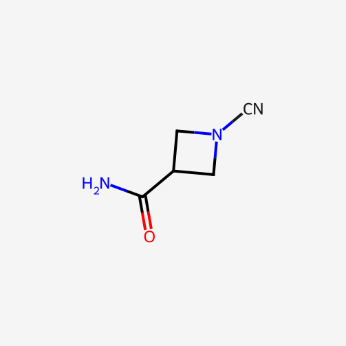 N#CN1CC(C(N)=O)C1